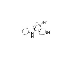 CC(C)C(=O)C1CNCCN1C(=O)NC1CCCCC1